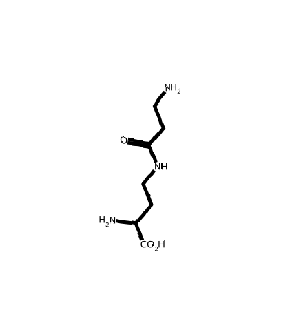 NCCC(=O)NCCC(N)C(=O)O